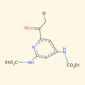 CCOC(=O)Nc1cc(NC(=O)OCC)nc(C(=O)CBr)c1